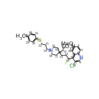 COc1ccc2ncc(Cl)c([C@H](F)CCC3(CC(=O)O)CCN(CCCSc4ccc(C)cc4)CC3)c2c1